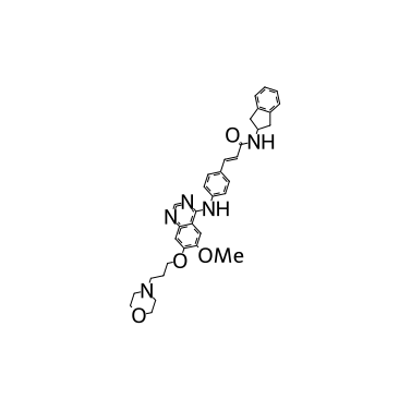 COc1cc2c(Nc3ccc(C=CC(=O)NC4Cc5ccccc5C4)cc3)ncnc2cc1OCCCN1CCOCC1